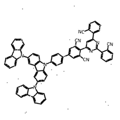 N#Cc1ccccc1-c1cc(-c2c(C#N)cc(-c3ccc(-n4c5ccc(-n6c7ccccc7c7ccccc76)cc5c5cc(-n6c7ccccc7c7ccccc76)ccc54)cc3)cc2C#N)nc(-c2ccccc2C#N)n1